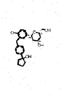 OC[C@@H]1C[C@H](O)C[C@H](c2ccc(Cl)c(Cc3ccc(C4(O)CCCC4)cc3)c2)O1